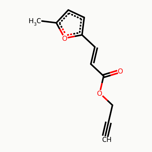 C#CCOC(=O)C=Cc1ccc(C)o1